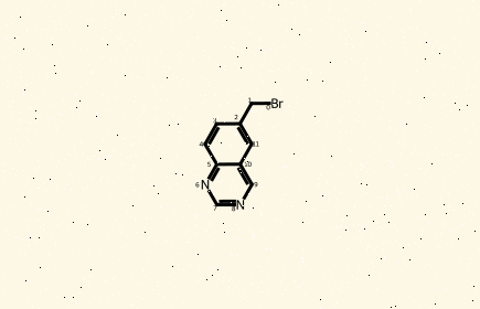 BrCc1ccc2ncncc2c1